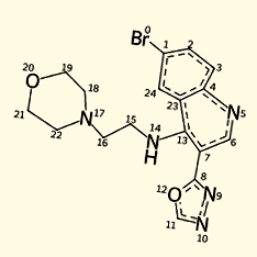 Brc1ccc2ncc(-c3nnco3)c(NCCN3CCOCC3)c2c1